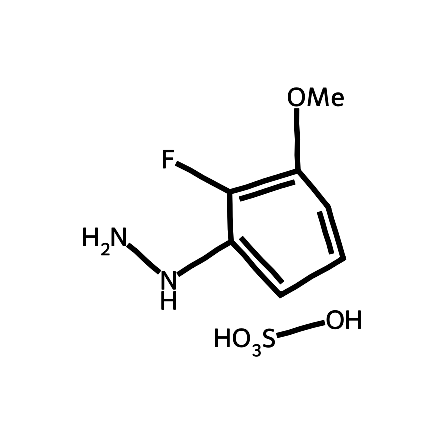 COc1cccc(NN)c1F.O=S(=O)(O)O